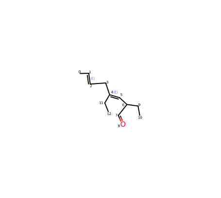 C/C=C/C/C(=C/C(C=O)CC)CC